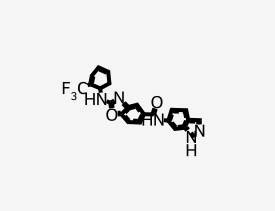 O=C(Nc1ccc2cn[nH]c2c1)c1ccc2oc(NC3CC=CC=C3C(F)(F)F)nc2c1